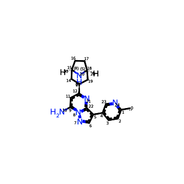 [CH]c1ccc(-c2cnn3c(N)cc([C@H]4C[C@H]5CC[C@@H](C4)N5)nc23)cn1